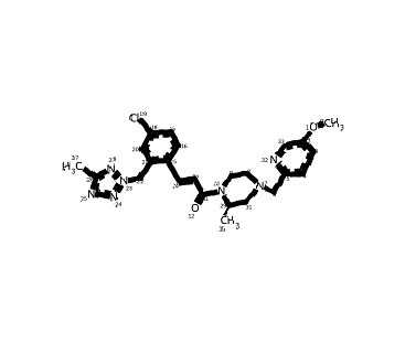 COc1ccc(CN2CCN(C(=O)C=Cc3ccc(Cl)cc3Cn3nnc(C)n3)[C@H](C)C2)nc1